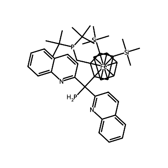 CC(C)(C)P(C[C]12[C]3(C(P)(c4ccc5ccccc5n4)c4ccc5ccccc5n4)[CH]4[C]5([Si](C)(C)C)[C]1([Si](C)(C)C)[Fe]42351678[CH]2[CH]1[CH]6[CH]7[CH]28)C(C)(C)C